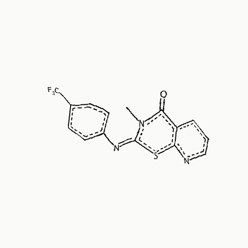 Cn1c(=Nc2ccc(C(F)(F)F)cc2)sc2ncccc2c1=O